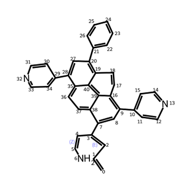 C=C/C=C(\C=C/N)c1cc(-c2ccncc2)c2ccc3c(-c4ccccc4)cc(-c4ccncc4)c4ccc1c2c43